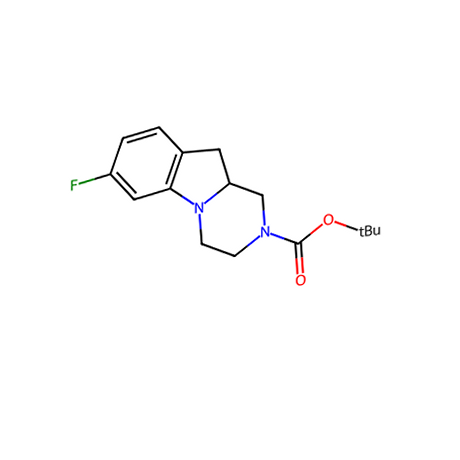 CC(C)(C)OC(=O)N1CCN2c3cc(F)ccc3CC2C1